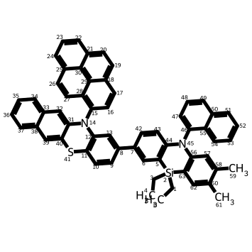 CC[Si]1(CC)c2cc(-c3ccc4c(c3)N(c3ccc5ccc6cccc7ccc3c5c67)c3cc5ccccc5cc3S4)ccc2N(c2cccc3ccccc23)c2cc(C)c(C)cc21